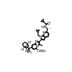 COc1cc(C(=O)N2[C@H]3CC[C@@H]2[C@H](N)C3)cc2nc(-c3cc4ccc([C@@H](C)NC(=O)C5CC5)nc4n3CC3CC3)c(C)n12